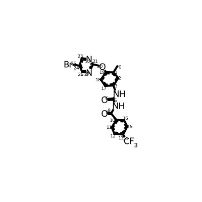 Cc1cc(NC(=O)NC(=O)c2ccc(C(F)(F)F)cc2)ccc1Oc1ncc(Br)cn1